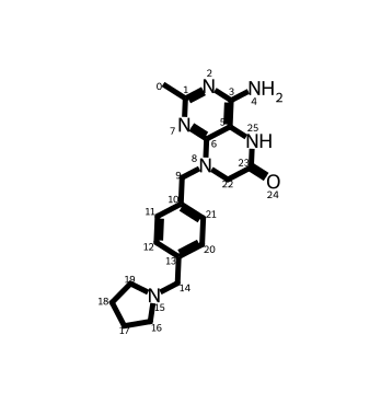 Cc1nc(N)c2c(n1)N(Cc1ccc(CN3CCCC3)cc1)CC(=O)N2